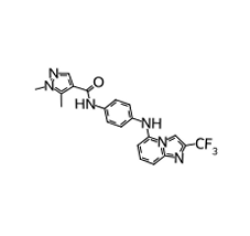 Cc1c(C(=O)Nc2ccc(Nc3cccc4nc(C(F)(F)F)cn34)cc2)cnn1C